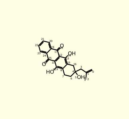 C=C(F)CC1(O)CCc2c(O)c3c(c(O)c2C1)C(=O)c1ccccc1C3=O